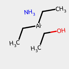 CCO.C[CH2][Al][CH2]C.N